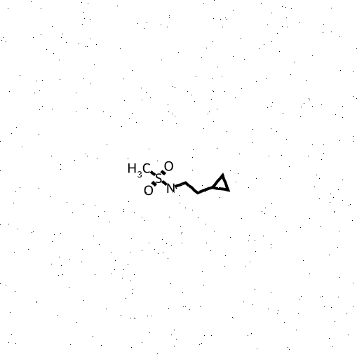 CS(=O)(=O)[N]CCC1CC1